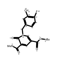 CCCCOC(=O)c1cc(C(=O)NC)c(=O)n(Cc2ccc(F)c(C)c2)c1